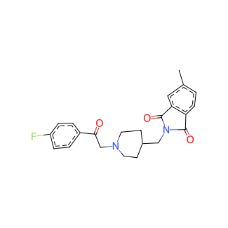 Cc1ccc2c(c1)C(=O)N(CC1CCN(CC(=O)c3ccc(F)cc3)CC1)C2=O